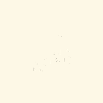 CCOCCCN(C)c1ccccc1NS(=O)(=O)c1ccc(S(=O)(=O)N(C)C)cc1